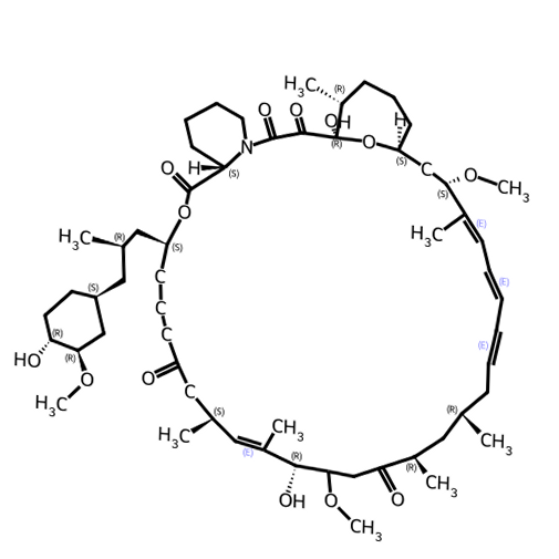 COC1CC(=O)[C@H](C)C[C@H](C)C/C=C/C=C/C=C(\C)[C@@H](OC)C[C@@H]2CCC[C@@H](C)[C@@](O)(O2)C(=O)C(=O)N2CCCC[C@H]2C(=O)O[C@H](C[C@H](C)C[C@@H]2CC[C@@H](O)[C@H](OC)C2)CCCC(=O)C[C@H](C)/C=C(\C)[C@H]1O